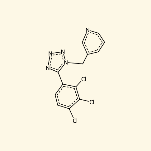 Clc1ccc(-c2nnnn2Cc2cccnc2)c(Cl)c1Cl